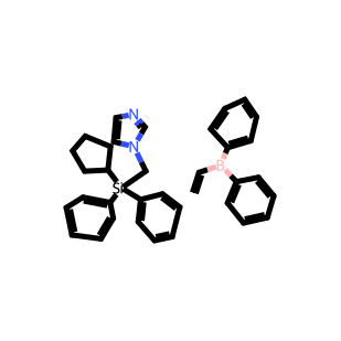 C=CB(c1ccccc1)c1ccccc1.c1ccc([Si](Cn2ccnc2)(c2ccccc2)C2CCCC2)cc1